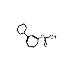 O=C(O)OC1=CC(C2CCCCC2)=CC=CC1